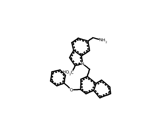 NCc1ccc2cc(C(=O)O)n(Cc3cc(Oc4ccccc4)cc4ccccc34)c2c1